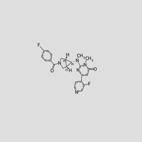 CN(c1nc(-c2ccncc2F)cc(=O)n1C)[C@@H]1[C@@H]2CN(C(=O)c3ccc(F)cc3)C[C@@H]21